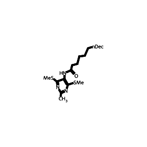 CCCCCCCCCCCCCCCC(=O)Nc1c(SC)nc(C)nc1SC